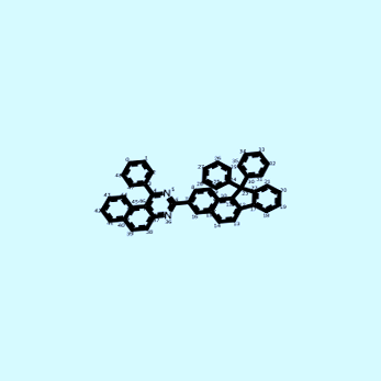 c1ccc(-c2nc(-c3ccc4c5c(ccc4c3)-c3ccccc3C5(c3ccccc3)c3ccccc3)nc3ccc4ccccc4c23)cc1